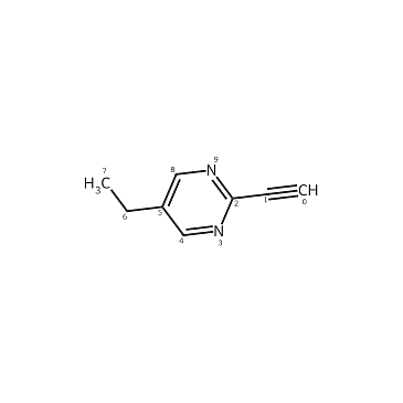 C#Cc1ncc(CC)cn1